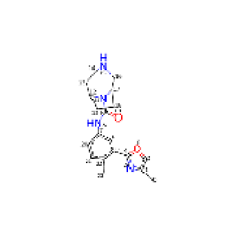 Cc1coc(-c2cc(NC(=O)N3C4CCNCC3CC4)ccc2C)n1